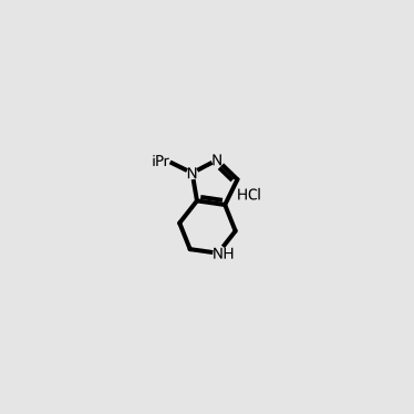 CC(C)n1ncc2c1CCNC2.Cl